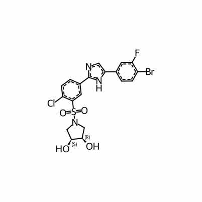 O=S(=O)(c1cc(-c2ncc(-c3ccc(Br)c(F)c3)[nH]2)ccc1Cl)N1C[C@@H](O)[C@@H](O)C1